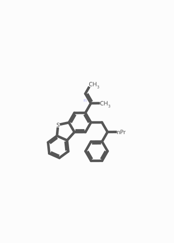 C/C=C(\C)c1cc2sc3ccccc3c2cc1CC(CCC)c1ccccc1